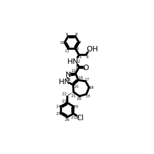 O=C(NC(CO)c1ccccc1)c1n[nH]c2c1CCCC[C@@H]2Cc1cccc(Cl)c1